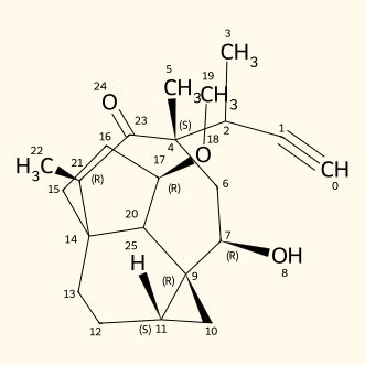 C#CC(C)[C@]1(C)C[C@@H](O)[C@]23C[C@@H]2CCC2(CC[C@@H](OC)C23)[C@@H](C)C1=O